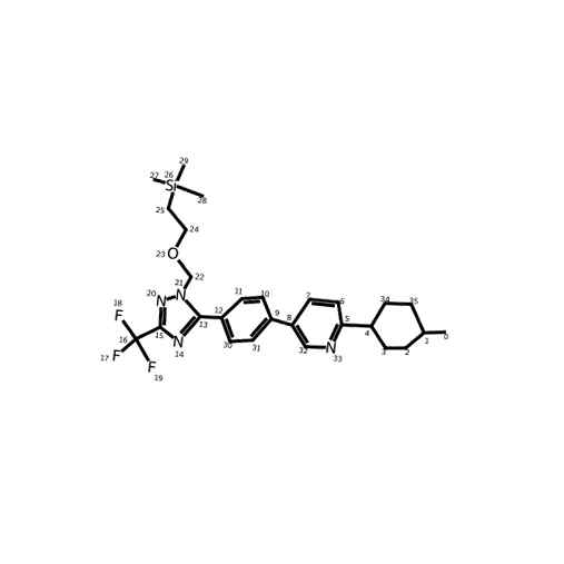 CC1CCC(c2ccc(-c3ccc(-c4nc(C(F)(F)F)nn4COCC[Si](C)(C)C)cc3)cn2)CC1